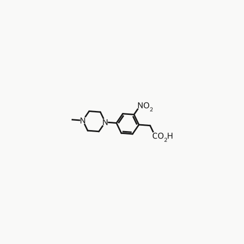 CN1CCN(c2ccc(CC(=O)O)c([N+](=O)[O-])c2)CC1